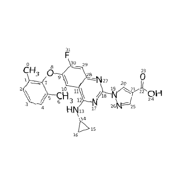 Cc1cccc(C)c1Oc1cc2c(NC3CC3)nc(-n3cc(C(=O)O)cn3)nc2cc1F